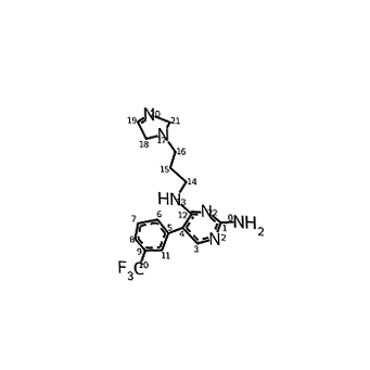 Nc1ncc(-c2cccc(C(F)(F)F)c2)c(NCCCN2CC=NC2)n1